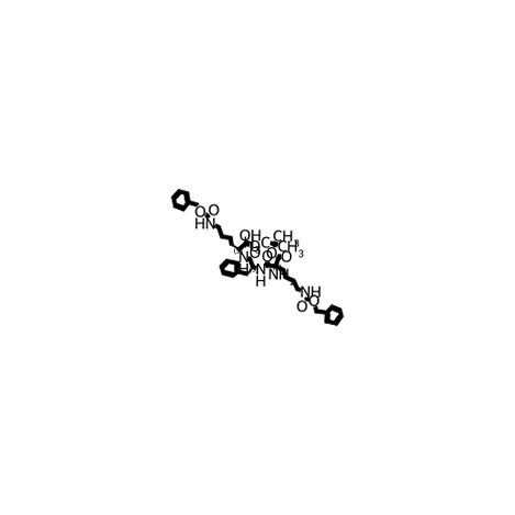 CC(C)(C)OC(=O)[C@](N)(CCCCNC(=O)OCc1ccccc1)C(=O)N[C@@H](Cc1ccccc1)C(=O)N[C@@H](CCCCNC(=O)OCc1ccccc1)C(=O)O